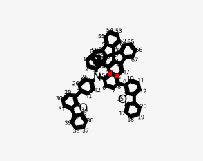 c1ccc(N(c2ccc(-c3cccc4c3oc3ccccc34)cc2)c2ccc(-c3cccc4c3oc3ccccc34)cc2)c(-c2cccc3c2C2(c4ccccc4-c4ccccc42)c2ccccc2-3)c1